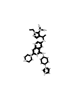 CCn1ncc(C(C)Oc2cnc3cc(N4CCOCC4)nc(O[C@H]4CC[C@@H](n5ccnc5)CC4)c3c2)c1[N+](=O)[O-]